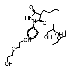 CC(O)CO.CCCCC1C(=O)NN(c2ccccc2)C1=O.CCOCC.OCCOCCO